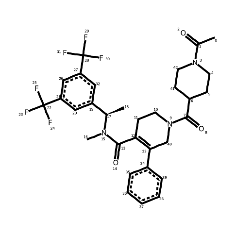 CC(=O)N1CCC(C(=O)N2CCC(C(=O)N(C)[C@H](C)c3cc(C(F)(F)F)cc(C(F)(F)F)c3)=C(c3ccccc3)C2)CC1